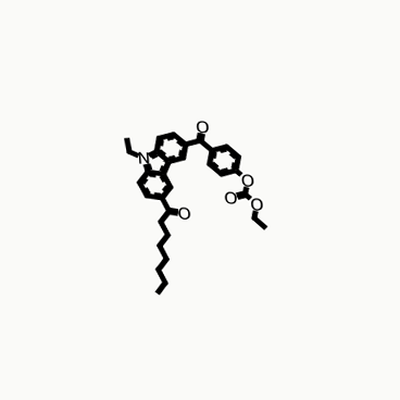 CCCCCCCC(=O)c1ccc2c(c1)c1cc(C(=O)c3ccc(OC(=O)OCC)cc3)ccc1n2CC